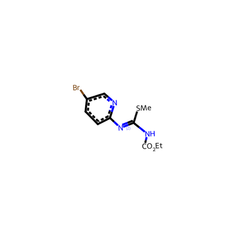 CCOC(=O)N/C(=N/c1ccc(Br)cn1)SC